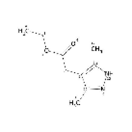 CCOC(=O)Cc1c(C)n[nH]c1C